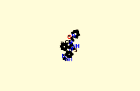 O=C(C/N=C1\NC(=S)N(c2ccc3[nH]cnc3c2)C1c1ccccc1C(F)(F)F)N1CCCCC1